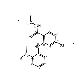 CONC(=O)c1cnc(Cl)cc1Nc1ccccc1P(C)C